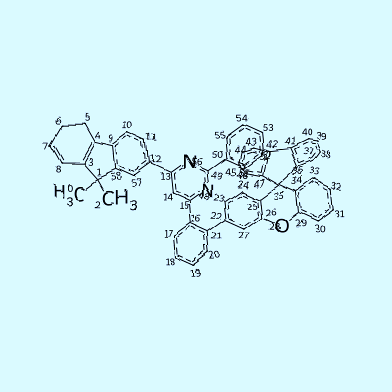 CC1(C)C2=C(CCC=C2)c2ccc(-c3cc(-c4ccccc4-c4ccc5c(c4)Oc4ccccc4C54c5ccccc5-c5ccccc54)nc(-c4ccccc4)n3)cc21